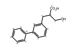 O=C(O)C(CO)Cc1cccc(-c2ccccc2)c1